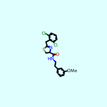 COc1cccc(CCNC(=O)C2CSC(Cc3c(Cl)cccc3Cl)=N2)c1